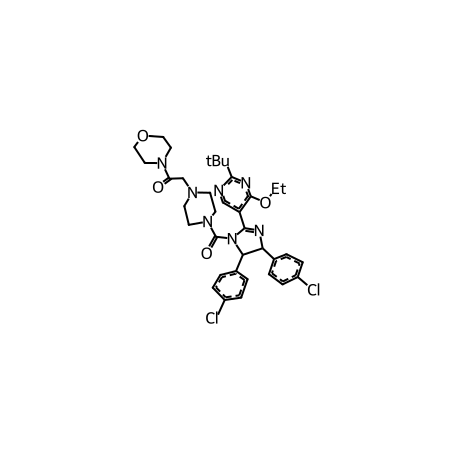 CCOc1nc(C(C)(C)C)ncc1C1=NC(c2ccc(Cl)cc2)C(c2ccc(Cl)cc2)N1C(=O)N1CCN(CC(=O)N2CCOCC2)CC1